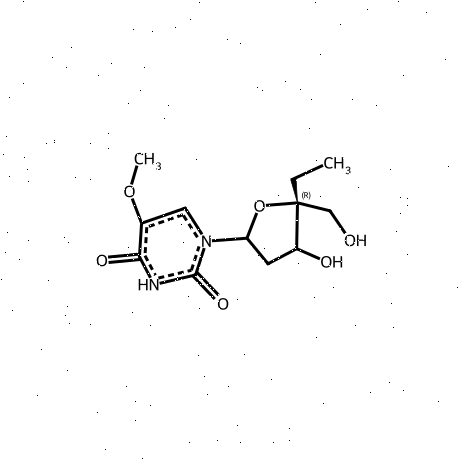 CC[C@]1(CO)OC(n2cc(OC)c(=O)[nH]c2=O)CC1O